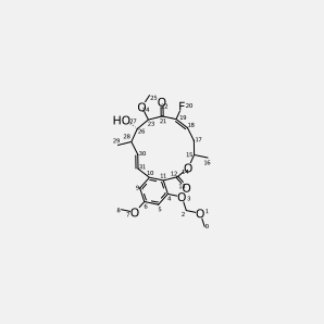 COCOc1cc(OC)cc2c1C(=O)OC(C)C/C=C(/F)C(=O)C(OC)[C@@H](O)C(C)/C=C/2